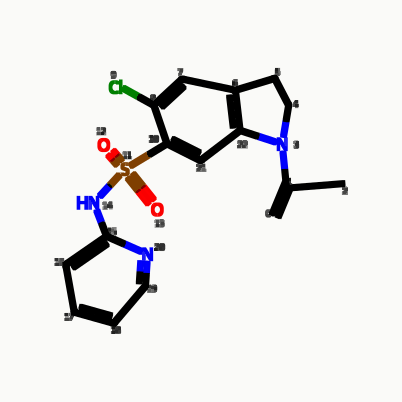 C=C(C)N1CCc2cc(Cl)c(S(=O)(=O)Nc3ccccn3)cc21